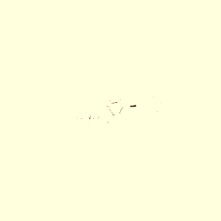 O=C(O)C1CN(C2COc3cc(C#CC4CCCCC4)ccc3C2)C1